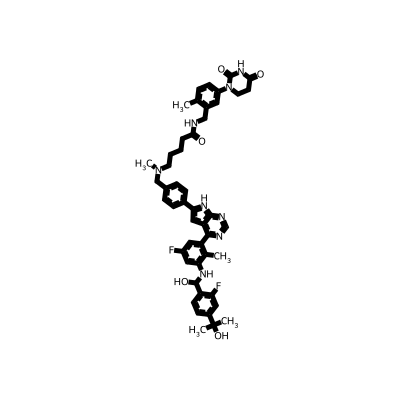 Cc1ccc(N2CCC(=O)NC2=O)cc1CNC(=O)CCCCN(C)Cc1ccc(-c2cc3c(-c4cc(F)cc(NC(O)c5ccc(C(C)(C)O)cc5F)c4C)ncnc3[nH]2)cc1